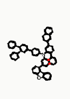 c1ccc(-c2ccc(-c3ccc(N(c4cccc(-c5cccc6oc7ccccc7c56)c4)c4cc(-c5ccc6ccccc6c5)ccc4-c4ccccc4)cc3)cc2-c2ccccc2)cc1